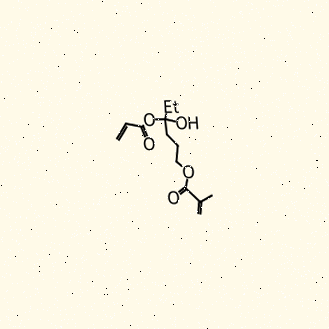 C=CC(=O)OC(O)(CC)CCCOC(=O)C(=C)C